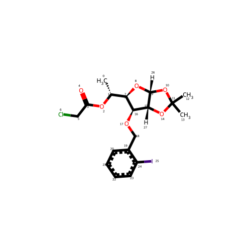 C[C@@H](OC(=O)CCl)[C@H]1O[C@@H]2OC(C)(C)O[C@@H]2[C@H]1OCc1ccccc1I